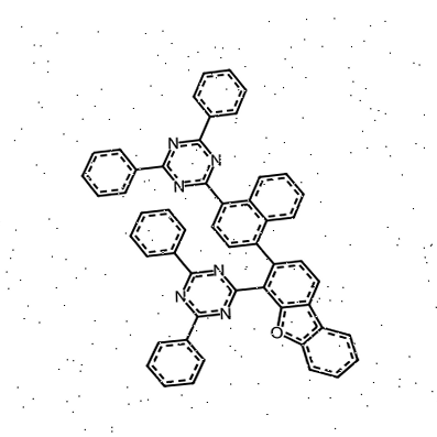 c1ccc(-c2nc(-c3ccccc3)nc(-c3ccc(-c4ccc5c(oc6ccccc65)c4-c4nc(-c5ccccc5)nc(-c5ccccc5)n4)c4ccccc34)n2)cc1